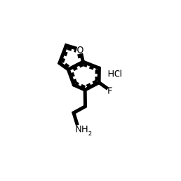 Cl.NCCc1cc2ccoc2cc1F